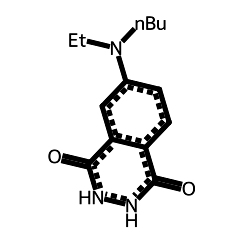 CCCCN(CC)c1ccc2c(=O)[nH][nH]c(=O)c2c1